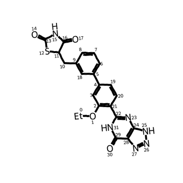 CCOc1cc(-c2cccc(CC3SC(=O)NC3=O)c2)ccc1-c1nc2[nH]nnc2c(=O)[nH]1